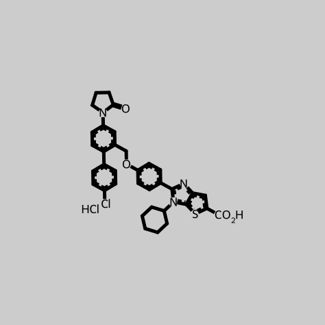 Cl.O=C(O)c1cc2nc(-c3ccc(OCc4cc(N5CCCC5=O)ccc4-c4ccc(Cl)cc4)cc3)n(C3CCCCC3)c2s1